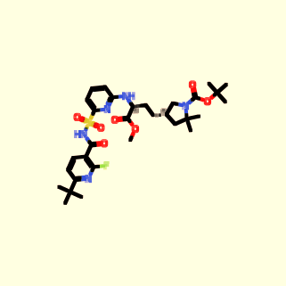 COC(=O)[C@H](CC[C@@H]1CN(C(=O)OC(C)(C)C)C(C)(C)C1)Nc1cccc(S(=O)(=O)NC(=O)c2ccc(C(C)(C)C)nc2F)n1